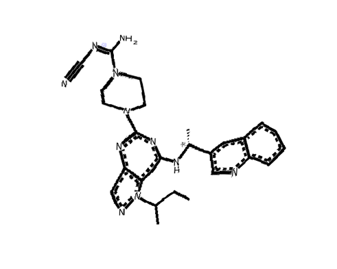 CCC(C)n1ncc2nc(N3CCN(/C(N)=N\C#N)CC3)nc(N[C@H](C)c3cnc4ccccc4c3)c21